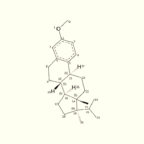 COc1ccc2c(c1)CC[C@@H]1[C@@H]2CC[C@@]2(C)[C@H]1CC[C@]2(C)C(C)C